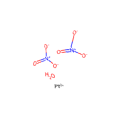 O.O=[N+]([O-])[O-].O=[N+]([O-])[O-].[Pt+2]